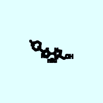 CCCCn1c(CO)cnc1-c1cnc(N2CCN(C)CC2)s1